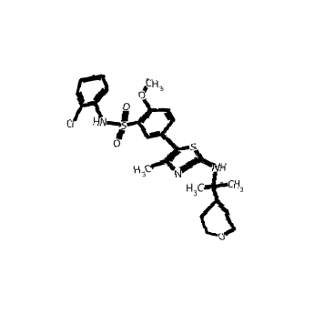 COc1ccc(-c2sc(NC(C)(C)C3CCOCC3)nc2C)cc1S(=O)(=O)Nc1ccccc1Cl